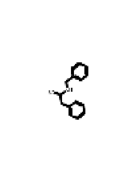 [CH2]CC(Cc1ccccc1)NCc1ccccc1